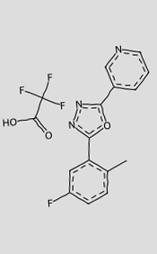 Cc1ccc(F)cc1-c1nnc(-c2cccnc2)o1.O=C(O)C(F)(F)F